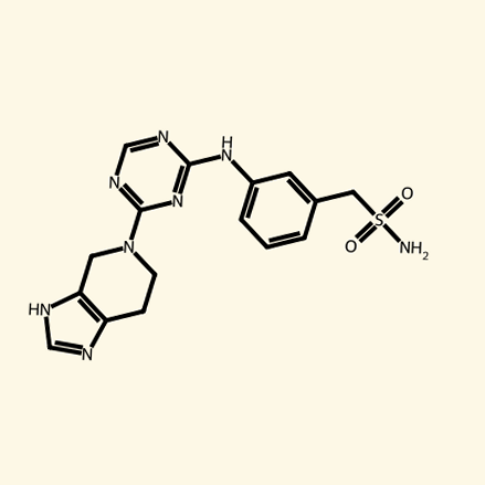 NS(=O)(=O)Cc1cccc(Nc2ncnc(N3CCc4nc[nH]c4C3)n2)c1